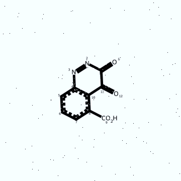 O=C1N=Nc2cccc(C(=O)O)c2C1=O